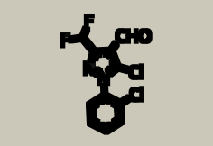 O=Cc1c(C(F)F)nn(-c2ccccc2Cl)c1Cl